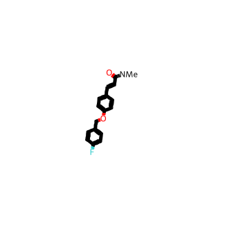 CNC(=O)C=Cc1ccc(OCc2ccc(F)cc2)cc1